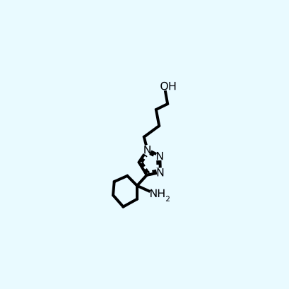 NC1(c2cn(CCCCO)nn2)CCCCC1